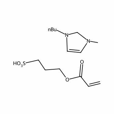 C=CC(=O)OCCCS(=O)(=O)O.CCCCN1C=CN(C)C1